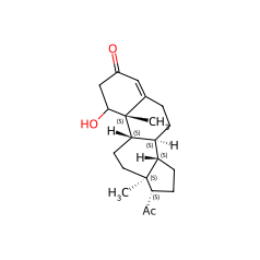 CC(=O)[C@H]1CC[C@H]2[C@@H]3CCC4=CC(=O)CC(O)[C@@]4(C)[C@H]3CC[C@]12C